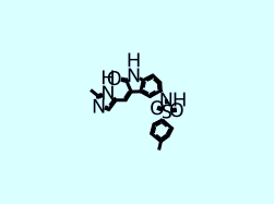 Cc1ccc(S(=O)(=O)Nc2ccc3c(c2)/C(=C/c2cnc(C)[nH]2)C(=O)N3)cc1